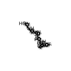 O=C(Nc1ccc(Oc2ccnc3cc(-c4ccc(CNCC5CCCC(O)C5)cn4)sc23)c(F)c1)c1c2c(cn(-c3ccc(F)cc3)c1=O)CCO2